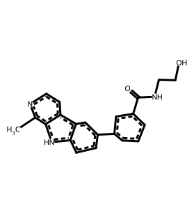 Cc1nccc2c1[nH]c1ccc(-c3cccc(C(=O)NCCO)c3)cc12